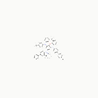 CC(C)(C)c1ccc(-c2ccc(N3c4cc(N5c6ccc(-c7ccccc7)cc6C6(C)CCCCC56C)cc5c4B4c6c3cccc6[Si](C)(C)c3cccc(c34)N5c3ccc(C(C)(C)C)cc3)cc2)cc1